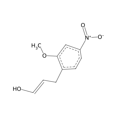 COc1cc([N+](=O)[O-])ccc1CC=CO